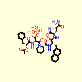 CC(=O)N[C@@H](Cc1ccccc1)C(=O)N[C@@H](C(=O)N1CCCC[C@H]1C(=O)N[C@@H](Cc1ccc2ccccc2c1)C(=O)N[C@@H](CCC(N)=O)C(N)=O)[C@H](C)OP(=O)(O)O